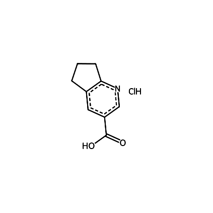 Cl.O=C(O)c1cnc2c(c1)CCC2